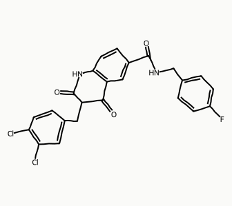 O=C(NCc1ccc(F)cc1)c1ccc2c(c1)C(=O)C(Cc1ccc(Cl)c(Cl)c1)C(=O)N2